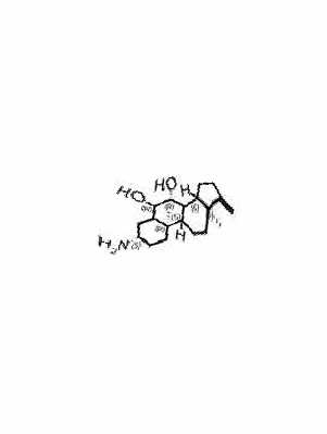 C=C1CC[C@H]2C3[C@@H](O)[C@H](O)C4C[C@@H](N)CC[C@]4(C)[C@H]3CC[C@]12C